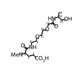 CNC(CCC(=O)O)C(=O)NCCOCCOCC(=O)NC(C)CO